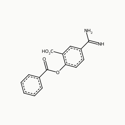 N=C(N)c1ccc(OC(=O)c2ccccc2)c(C(=O)O)c1